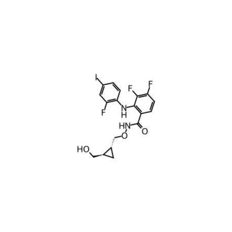 O=C(NOC[C@@H]1C[C@H]1CO)c1ccc(F)c(F)c1Nc1ccc(I)cc1F